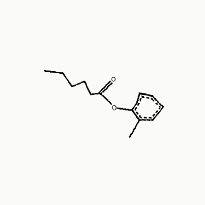 CCCCCC(=O)Oc1ccccc1C